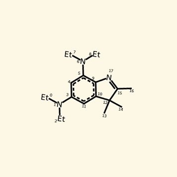 CCN(CC)c1cc(N(CC)CC)c2c(c1)C(C)(C)C(C)=N2